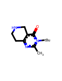 Cc1nc2c(c(=O)n1C(C)(C)C)CNCC2